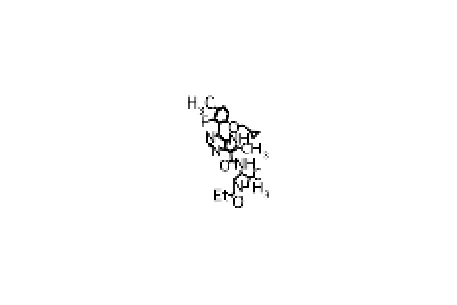 CCC(=O)N1CC(C)C(NC(=O)c2c(C)[nH]c3c(-c4c(OCC5CC5)ccc(C)c4F)ncnc23)C1